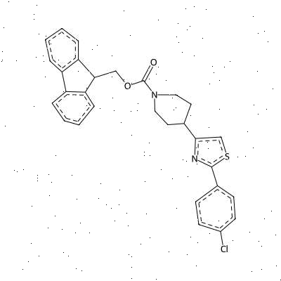 O=C(OCC1c2ccccc2-c2ccccc21)N1CCC(c2csc(-c3ccc(Cl)cc3)n2)CC1